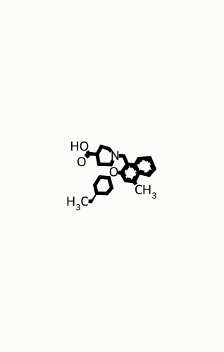 CC[C@H]1CC[C@@H](Oc2cc(C)c3ccccc3c2CN2CCC(C(=O)O)CC2)CC1